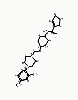 O=C(NC1CCC(CCN2CCN(c3ccc(Cl)cc3F)CC2)CC1)C1=CCCC1